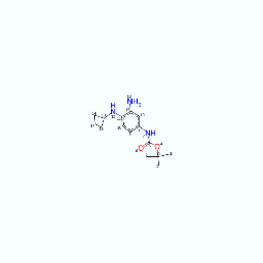 CC(C)(C)OC(=O)Nc1ccc(NC2CCC2)c(N)c1